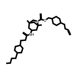 C=CCCC1CCC(COC(=C)N2CC3(C)CC(NC(=C)CCC4CCC(CCCC)CC4)CC2(C)C3)CC1